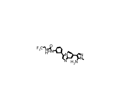 Cn1ncc(-c2ccn3c(-c4cccc(NC(=O)NCC(F)(F)F)c4)cnc3c2)c1N